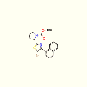 CC(C)(C)OC(=O)N1CCC[C@H]1c1nc(-c2cccc3ccccc23)c(Br)s1